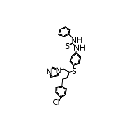 S=C(Nc1ccccc1)Nc1ccc(SC(CCc2ccc(Cl)cc2)Cn2ccnc2)cc1